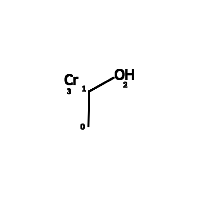 CCO.[Cr]